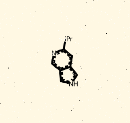 CC(C)c1cc2c[nH]cc2cn1